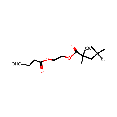 CCC(C)(C)CC(C)(C(=O)OCCOC(=O)CCC=O)C(C)(C)C